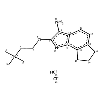 C[N+](C)(C)CCOc1nn2c3c(ccc2c1N)CCC3.Cl.[Cl-]